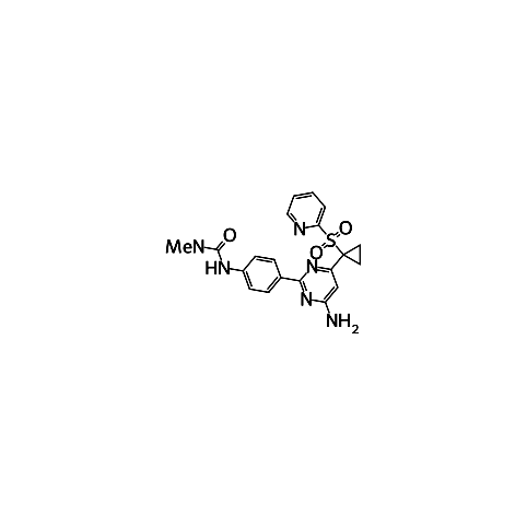 CNC(=O)Nc1ccc(-c2nc(N)cc(C3(S(=O)(=O)c4ccccn4)CC3)n2)cc1